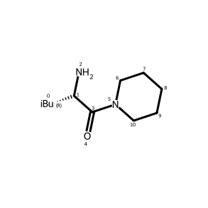 CC[C@@H](C)C(N)C(=O)N1CCCCC1